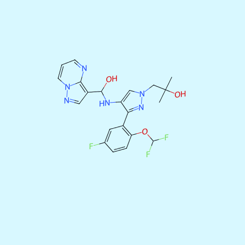 CC(C)(O)Cn1cc(NC(O)c2cnn3cccnc23)c(-c2cc(F)ccc2OC(F)F)n1